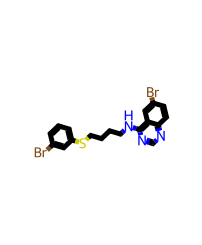 Brc1cccc(SCCCCNc2ncnc3ccc(Br)cc23)c1